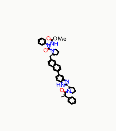 COC(=O)NN(C(=O)N1CCC[C@H]1Cc1ccc2cc(-c3ccc4[nH]c([C@@H]5CCCN5C(=O)[C@H](C)c5ccccc5)nc4c3)ccc2c1)c1ccccc1